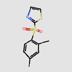 Cc1ccc(S(=O)(=O)c2n[c]cs2)c(C)c1